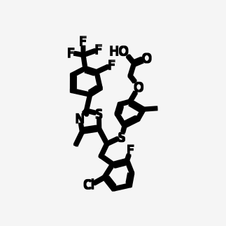 Cc1cc(SC(Cc2c(F)cccc2Cl)c2sc(-c3ccc(C(F)(F)F)c(F)c3)nc2C)ccc1OCC(=O)O